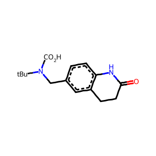 CC(C)(C)N(Cc1ccc2c(c1)CCC(=O)N2)C(=O)O